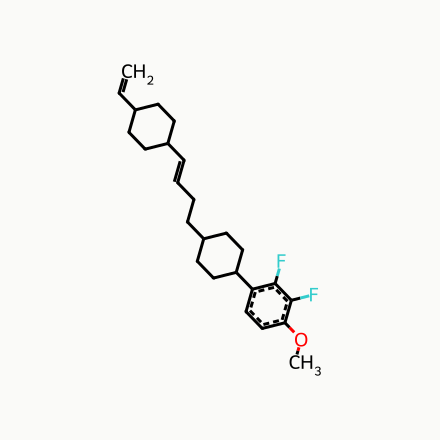 C=CC1CCC(/C=C/CCC2CCC(c3ccc(OC)c(F)c3F)CC2)CC1